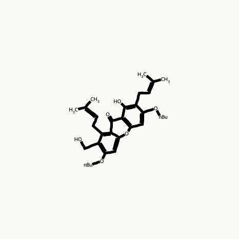 CCCCOc1cc2oc3cc(OCCCC)c(CO)c(CC=C(C)C)c3c(=O)c2c(O)c1CC=C(C)C